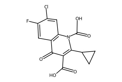 O=C(O)c1c(C2CC2)n(C(=O)O)c2cc(Cl)c(F)cc2c1=O